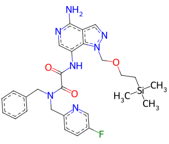 C[Si](C)(C)CCOCn1ncc2c(N)ncc(NC(=O)C(=O)N(Cc3ccccc3)Cc3ccc(F)cn3)c21